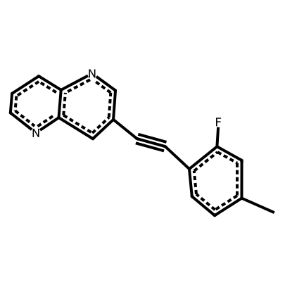 Cc1ccc(C#Cc2cnc3cccnc3c2)c(F)c1